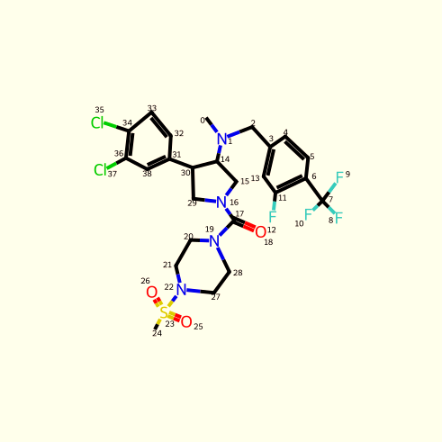 CN(Cc1ccc(C(F)(F)F)c(F)c1)C1CN(C(=O)N2CCN(S(C)(=O)=O)CC2)CC1c1ccc(Cl)c(Cl)c1